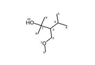 COCC(C(C)C)C(C)(C)O